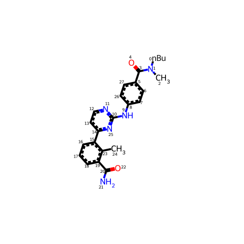 CCCCN(C)C(=O)c1ccc(Nc2nccc(-c3cccc(C(N)=O)c3C)n2)cc1